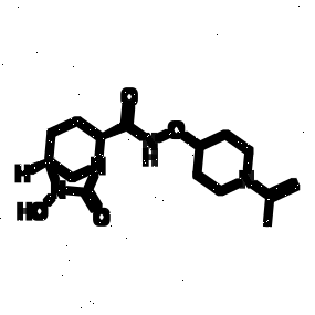 C=C(C)N1CCC(ONC(=O)[C@@H]2CC[C@@H]3CN2C(=O)N3O)CC1